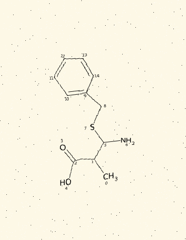 CC(C(=O)O)C(N)SCc1ccccc1